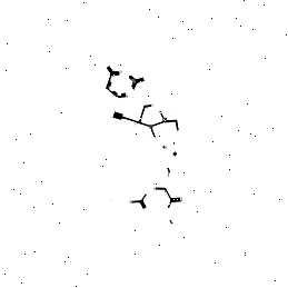 C#C[C@]1(C)[C@@H]2O[P@](=O)(OC[C@H](NC(=O)OC)C(=O)OC(C)C)OC[C@H]2O[C@H]1n1ccc(=O)[nH]c1=O